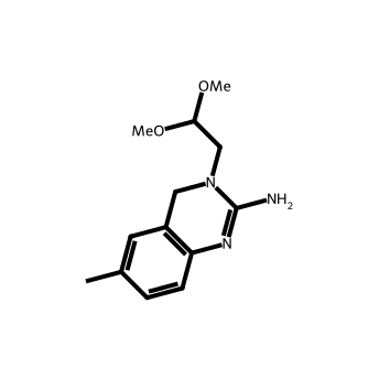 COC(CN1Cc2cc(C)ccc2N=C1N)OC